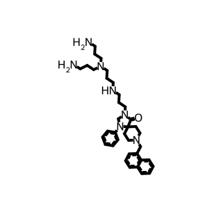 NCCCN(CCCN)CCCNCCCN1CN(c2ccccc2)C2(CCN(Cc3cccc4ccccc34)CC2)C1=O